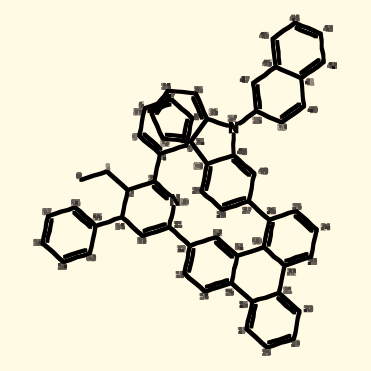 CCC1C(c2ccccc2)=NC(c2ccc3c4ccccc4c4cccc(-c5ccc6c7ccccc7n(-c7ccc8ccccc8c7)c6c5)c4c3c2)=CC1c1ccccc1